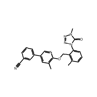 Cc1cc(-c2cccc(C#N)c2)cnc1OCc1c(C)cccc1-n1nnn(C)c1=O